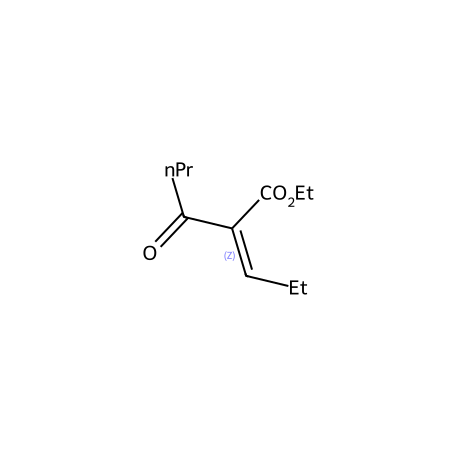 CC/C=C(/C(=O)CCC)C(=O)OCC